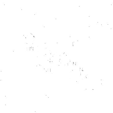 NC(=O)c1nn(CC(=O)N2C[C@H](F)C[C@H]2C(=O)Nc2cccc(Cl)n2)c2ccc(Nc3cncnc3)cc12